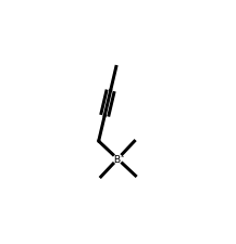 CC#CC[B-](C)(C)C